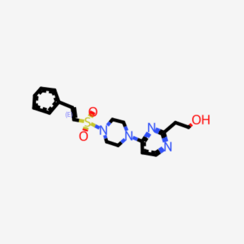 O=S(=O)(/C=C/c1ccccc1)N1CCN(c2ccnc(CCO)n2)CC1